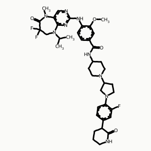 COc1cc(C(=O)NC2CCN(C3CCN(c4ccc(C5CCCNC5=O)cc4F)C3)CC2)ccc1Nc1ncc2c(n1)N(C(C)C)CC(F)(F)C(=O)N2C